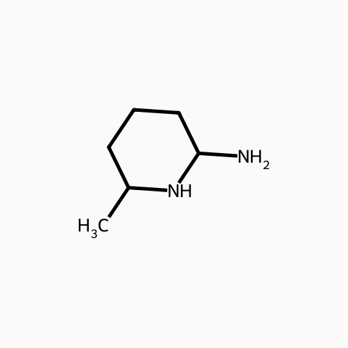 CC1CCCC(N)N1